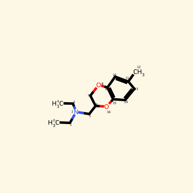 CCN(CC)CC1COc2cc(C)ccc2O1